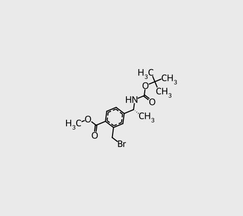 COC(=O)c1ccc([C@@H](C)NC(=O)OC(C)(C)C)cc1CBr